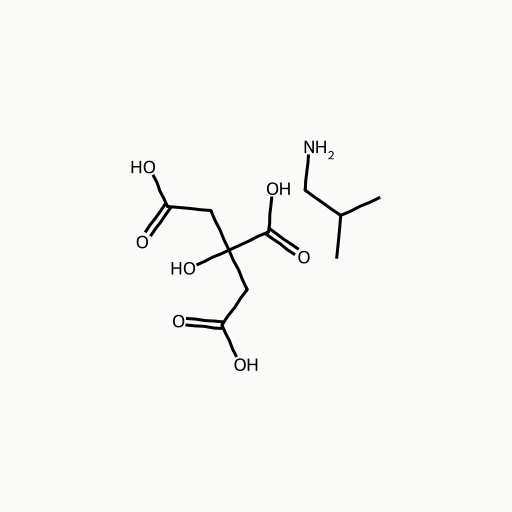 CC(C)CN.O=C(O)CC(O)(CC(=O)O)C(=O)O